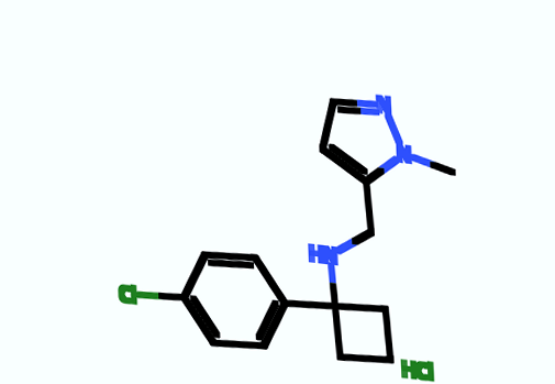 Cl.Cn1nccc1CNC1(c2ccc(Cl)cc2)CCC1